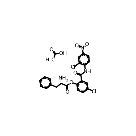 CC(=O)O.N[C@@H](Cc1ccccc1)C(=O)Oc1ccc(Cl)cc1C(=O)Nc1ccc([N+](=O)[O-])cc1Cl